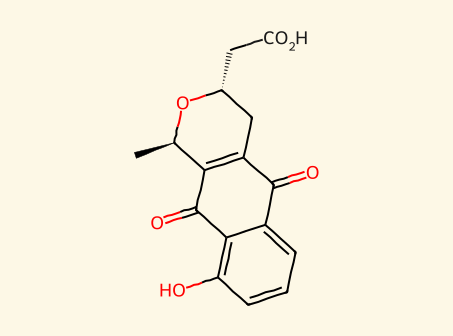 C[C@H]1O[C@H](CC(=O)O)CC2=C1C(=O)c1c(O)cccc1C2=O